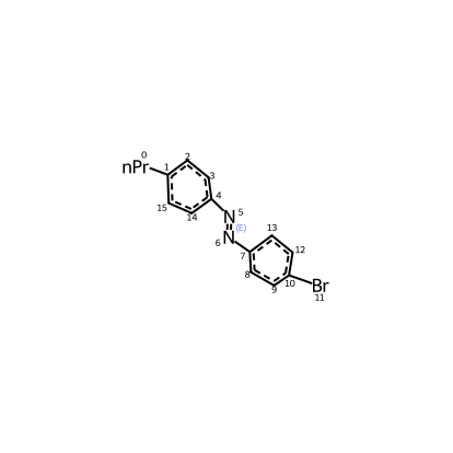 CCCc1ccc(/N=N/c2ccc(Br)cc2)cc1